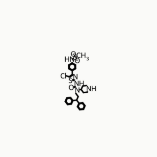 CS(=O)(=O)Nc1ccc(-c2nc(NC(=O)N(CCC(c3ccccc3)c3ccccc3)C3CCNCC3)sc2Cl)cc1